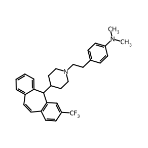 CN(C)c1ccc(CCN2CCC(C3c4ccccc4C=Cc4ccc(C(F)(F)F)cc43)CC2)cc1